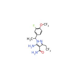 CC(c1ccc(OC(F)(F)F)c(F)c1)n1nc(CC(F)(F)F)c(C(N)=O)c1N